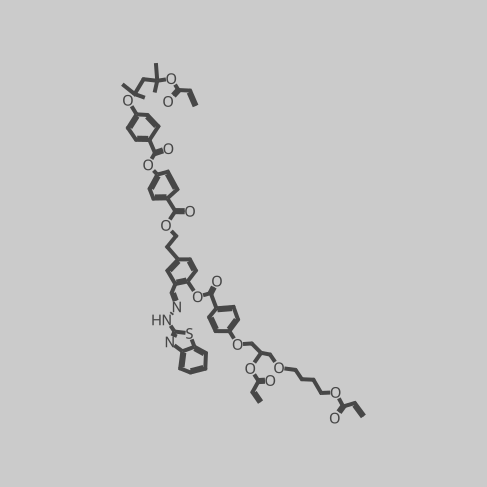 C=CC(=O)OCCCCOCC(COc1ccc(C(=O)Oc2ccc(CCOC(=O)c3ccc(OC(=O)c4ccc(OC(C)(C)CC(C)(C)OC(=O)C=C)cc4)cc3)cc2/C=N/Nc2nc3ccccc3s2)cc1)OC(=O)C=C